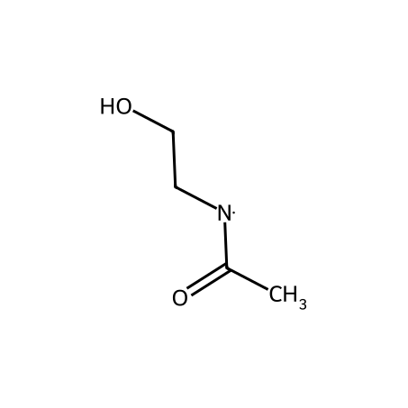 CC(=O)[N]CCO